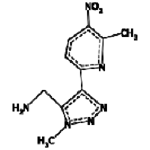 Cc1nc(-c2nnn(C)c2CN)ccc1[N+](=O)[O-]